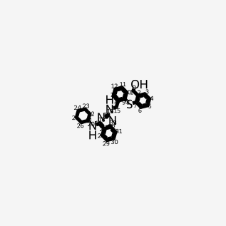 OCc1ccccc1Sc1ccccc1CNc1nc(NC2CCCCC2)c2ccccc2n1